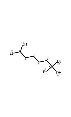 CCC(O)CCCCC(O)(CC)CC